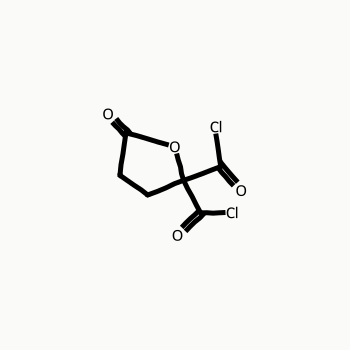 O=C1CCC(C(=O)Cl)(C(=O)Cl)O1